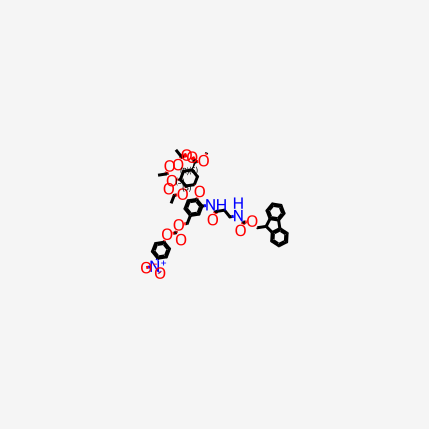 COC(=O)[C@H]1CC(Oc2ccc(COC(=O)Oc3ccc([N+](=O)[O-])cc3)cc2NC(=O)CCNC(=O)OCC2c3ccccc3-c3ccccc32)[C@H](OC(C)=O)[C@@H](OC(C)=O)[C@@H]1OC(C)=O